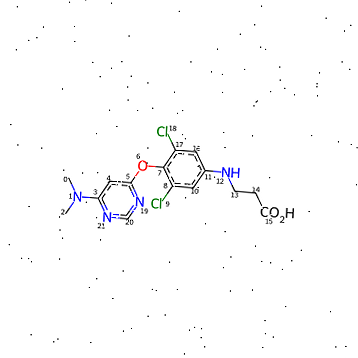 CN(C)c1cc(Oc2c(Cl)cc(NCCC(=O)O)cc2Cl)ncn1